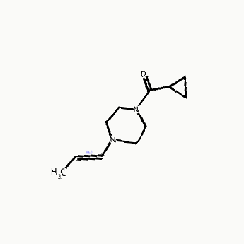 C/C=C/N1CCN(C(=O)C2CC2)CC1